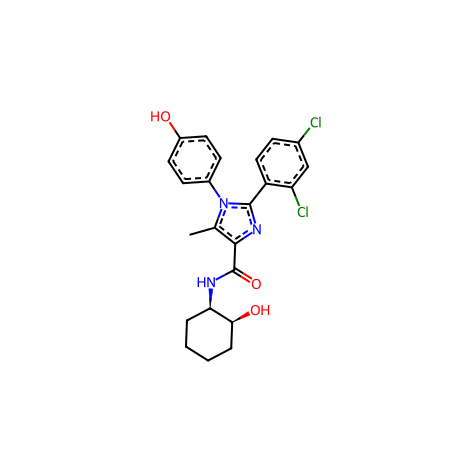 Cc1c(C(=O)N[C@@H]2CCCC[C@@H]2O)nc(-c2ccc(Cl)cc2Cl)n1-c1ccc(O)cc1